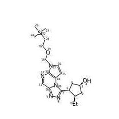 CC[C@@H]1C[C@H](O)C[C@@H]1c1nnc2cnc3c(ccn3COCC[Si](C)(C)C)n12